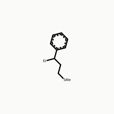 [CH]SCCC(CC)c1ccccc1